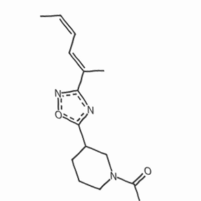 C/C=C\C=C(/C)c1noc(C2CCCN(C(=O)OC(C)(C)C)C2)n1